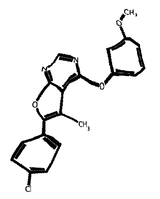 COc1cccc(Oc2ncnc3oc(-c4ccc(Cl)cc4)c(C)c23)c1